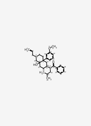 C=CCN1CCC2(c3cccc(OC)c3)C[C@@H](N(CC(C)C)C(=O)c3ccccc3)CCC2(O)C1